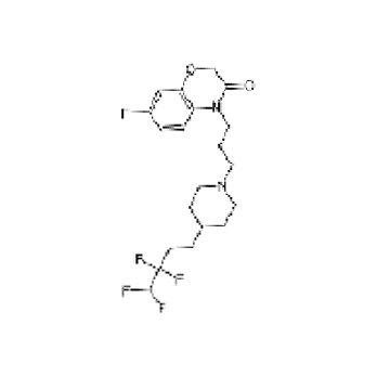 O=C1COc2cc(F)ccc2N1CCCN1CCC(CCC(F)(F)C(F)F)CC1